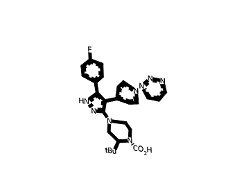 CC(C)(C)C1CN(c2n[nH]c(-c3ccc(F)cc3)c2-c2ccncc2)CCN1C(=O)O.c1cnnnc1